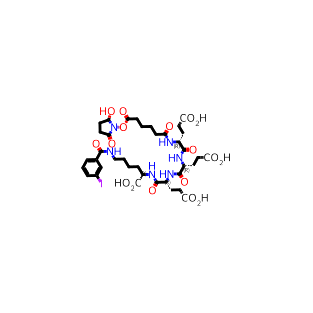 O=C(O)CC[C@@H](NC(=O)CCCCC(=O)ON1C(=O)CCC1O)C(=O)N[C@H](CCC(=O)O)C(=O)N[C@H](CCC(=O)O)C(=O)N[C@H](CCCCNC(=O)c1cccc(I)c1)C(=O)O